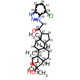 COC[C@]12CC[C@@](C)(O)C[C@@H]1CC[C@H]1[C@@H]3CC[C@H](C(=O)Cn4nnc5cccc(Cl)c54)[C@@]3(C)CC[C@@]12C